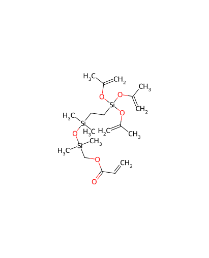 C=CC(=O)OC[Si](C)(C)O[Si](C)(C)CC[Si](OC(=C)C)(OC(=C)C)OC(=C)C